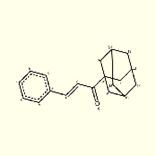 O=C(/C=C/c1ccccc1)C12CC3CC(CC(C3)C1)C2